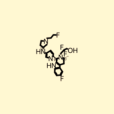 C[C@@H]1Cc2c([nH]c3ccc(F)cc23)[C@@H](c2ccc(N[C@H]3CCN(CCCF)C3)cn2)N1CC(F)(F)CO